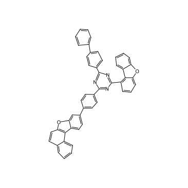 c1ccc(-c2ccc(-c3nc(-c4ccc(-c5ccc6c(c5)oc5ccc7ccccc7c56)cc4)nc(-c4cccc5oc6ccccc6c45)n3)cc2)cc1